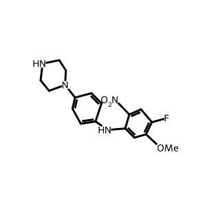 COc1cc(Nc2ccc(N3CCNCC3)cc2)c([N+](=O)[O-])cc1F